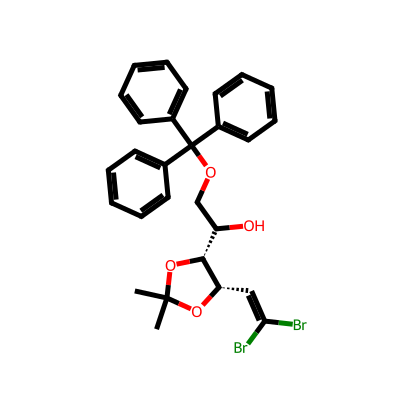 CC1(C)O[C@@H](C=C(Br)Br)[C@@H](C(O)COC(c2ccccc2)(c2ccccc2)c2ccccc2)O1